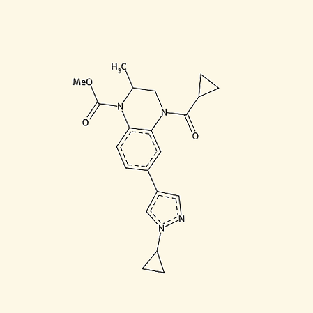 COC(=O)N1c2ccc(-c3cnn(C4CC4)c3)cc2N(C(=O)C2CC2)CC1C